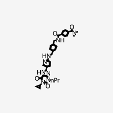 CCCn1c(=O)n(C2CC2)c(=O)c2[nH]c(-c3ccc(NCc4ccc(CNC(=O)c5ccc(C(=O)N(C)C)cc5)cc4)nc3)nc21